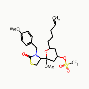 C=CCCCC1CC(OS(=O)(=O)C(F)(F)F)CC(OC)(C2CSC(=O)N2Cc2ccc(OC)cc2)O1